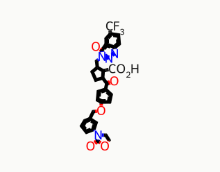 O=C(c1ccc(OCc2cccc(N3CCOC3=O)c2)cc1)C1CCC(Cn2nnc3ccc(C(F)(F)F)cc3c2=O)C1C(=O)O